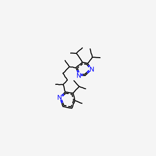 Cc1ccnc(C(C)CCC(C)c2ncnc(C(C)C)c2C(C)C)c1C(C)C